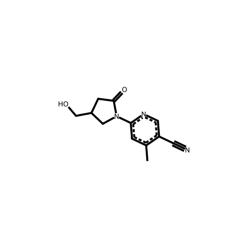 Cc1cc(N2CC(CO)CC2=O)ncc1C#N